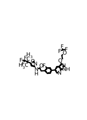 CC(C)(c1cc(NC(=O)Cc2ccc(-c3cnc4[nH]nc(OCCOC(F)(F)F)c4c3)cc2F)no1)C(F)(F)F